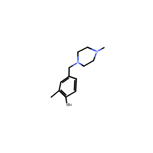 Cc1cc(CN2CCN(C)CC2)ccc1C(C)(C)C